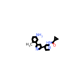 Cc1ccc(N)cc1-c1cncc(-c2ccnc(NC(=O)C3CC3)c2)c1